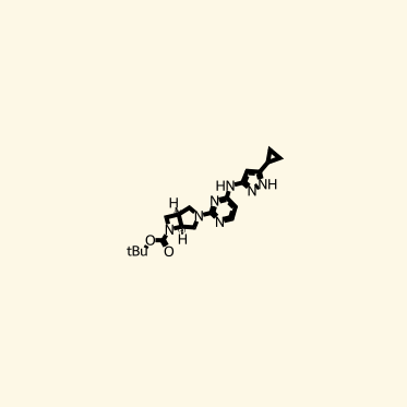 CC(C)(C)OC(=O)N1C[C@H]2CN(c3nccc(Nc4cc(C5CC5)[nH]n4)n3)C[C@H]21